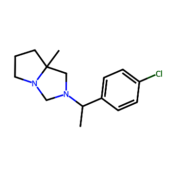 CC(c1ccc(Cl)cc1)N1CN2CCCC2(C)C1